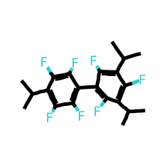 CC(C)c1c(F)c(F)c(-c2c(F)c(C(C)C)c(F)c(C(C)C)c2F)c(F)c1F